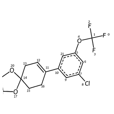 FC(F)(F)Oc1cc(Cl)cc(C2=CCC3(CC2)OCCO3)c1